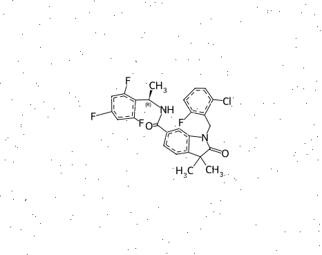 C[C@@H](NC(=O)c1ccc2c(c1)N(Cc1c(F)cccc1Cl)C(=O)C2(C)C)c1c(F)cc(F)cc1F